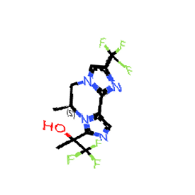 C[C@H]1Cn2cc(C(F)(F)F)nc2-c2cnc(C(C)(O)C(F)(F)F)n21